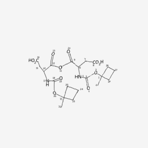 CC1(OC(=O)NC(CC(=O)O)C(=O)OC(=O)C(CC(=O)O)NC(=O)OC2(C)CCC2)CCC1